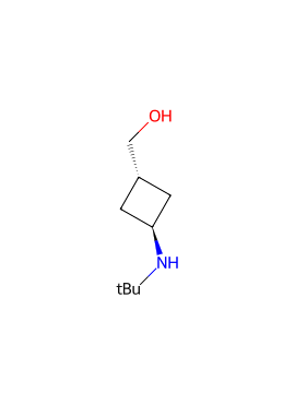 CC(C)(C)N[C@H]1C[C@H](CO)C1